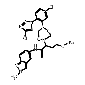 Cn1cc2cc(NC(=O)C(CCOC(C)(C)C)N3CON(c4cc(Cl)ccc4-n4cc(Cl)nn4)CO3)ccc2n1